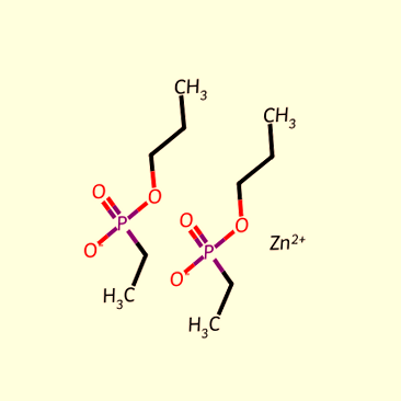 CCCOP(=O)([O-])CC.CCCOP(=O)([O-])CC.[Zn+2]